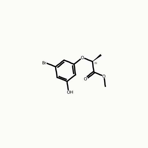 COC(=O)[C@H](C)Oc1cc(O)cc(Br)c1